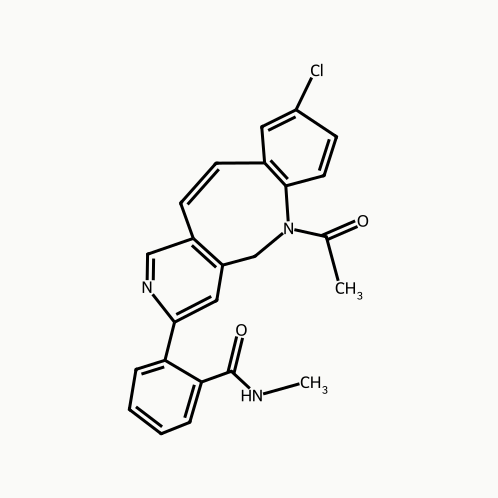 CNC(=O)c1ccccc1-c1cc2c(cn1)C=Cc1cc(Cl)ccc1N(C(C)=O)C2